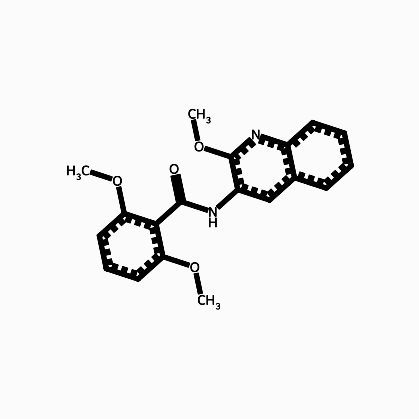 COc1cccc(OC)c1C(=O)Nc1cc2ccccc2nc1OC